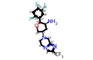 N[C@H]1C[C@@H](N2CCn3cc(C(F)(F)F)nc3C2)COC1c1cc(F)c(F)cc1F